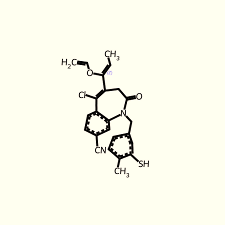 C=CO/C(=C\C)C1=C(Cl)c2ccc(C#N)cc2N(Cc2ccc(C)c(S)c2)C(=O)C1